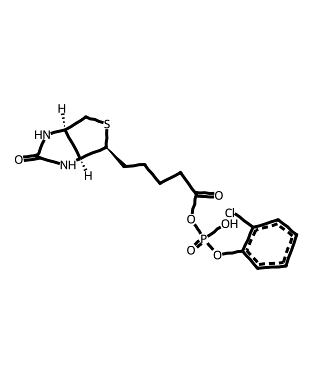 O=C1N[C@H]2[C@H](CS[C@H]2CCCCC(=O)OP(=O)(O)Oc2ccccc2Cl)N1